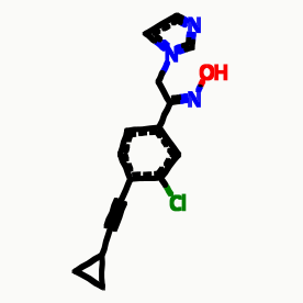 O/N=C(\Cn1ccnc1)c1ccc(C#CC2CC2)c(Cl)c1